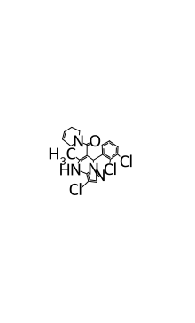 CC1=C(C(=O)N2CC=CCC2)C(c2cccc(Cl)c2Cl)n2ncc(Cl)c2N1